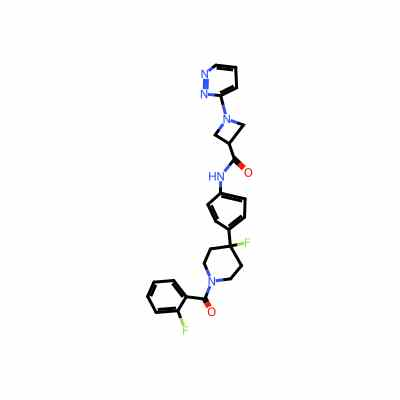 O=C(Nc1ccc(C2(F)CCN(C(=O)c3ccccc3F)CC2)cc1)C1CN(c2cccnn2)C1